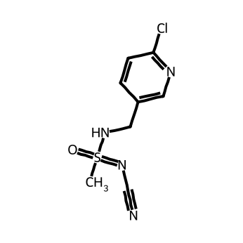 CS(=O)(=NC#N)NCc1ccc(Cl)nc1